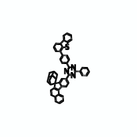 c1ccc(-c2nc(-c3ccc(-c4cccc5c4sc4ccccc45)cc3)nc(-c3ccc4c(c3)C3(c5ccc6ccccc6c5-4)C4CC5CC(C4)CC3C5)n2)cc1